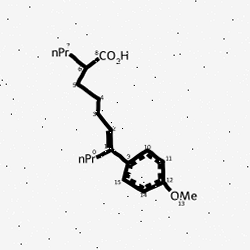 CCC/C(=C\CCCC(CCC)C(=O)O)c1ccc(OC)cc1